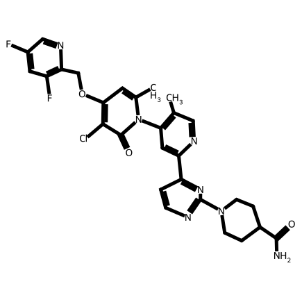 Cc1cnc(-c2ccnc(N3CCC(C(N)=O)CC3)n2)cc1-n1c(C)cc(OCc2ncc(F)cc2F)c(Cl)c1=O